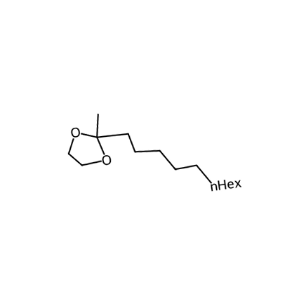 CCCCCCCCCCCC1(C)OCCO1